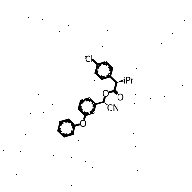 CC(C)[C@@H](C(=O)O[C@H](C#N)c1cccc(Oc2ccccc2)c1)c1ccc(Cl)cc1